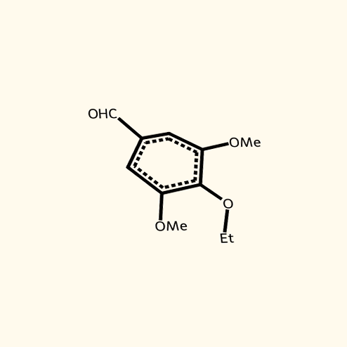 CCOc1c(OC)cc(C=O)cc1OC